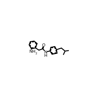 CC(C)Cc1ccc(NC(=O)Cc2ccccc2N)cc1